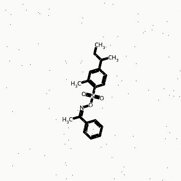 CCC(C)c1ccc(S(=O)(=O)ON=C(C)c2ccccc2)c(C)c1